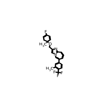 Cc1cc(C2=Cn3cc(COC4(C)C=CC(F)=CC4)nc3C=C=C2)ccc1C(F)(F)F